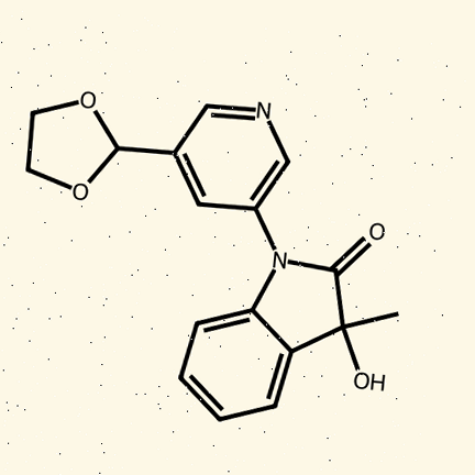 CC1(O)C(=O)N(c2cncc(C3OCCO3)c2)c2ccccc21